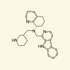 c1cnc2c(c1)CCC[C@@H]2N(Cc1nccc2c1[nH]c1ccccc12)CC1CCCNC1